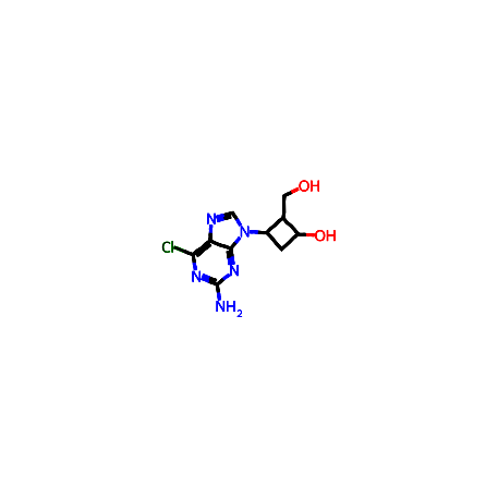 Nc1nc(Cl)c2ncn(C3CC(O)C3CO)c2n1